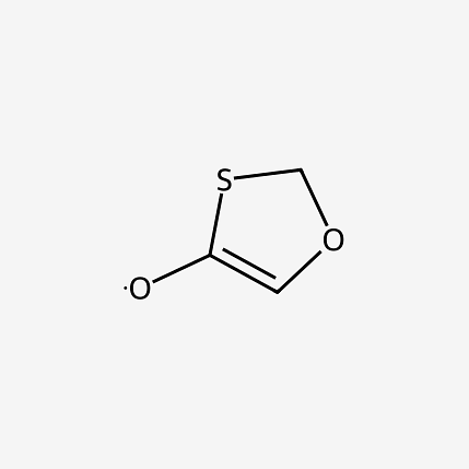 [O]C1=COCS1